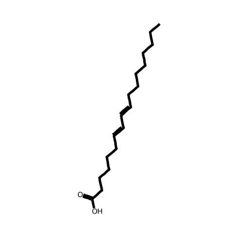 CCCCCCCC/C=C/C=C/CCCCCC(=O)O